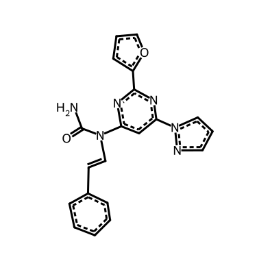 NC(=O)N(C=Cc1ccccc1)c1cc(-n2cccn2)nc(-c2ccco2)n1